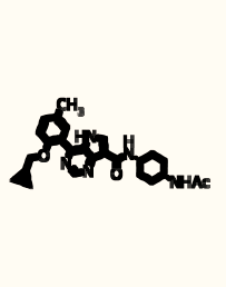 CC(=O)N[C@H]1CC[C@H](NC(=O)c2c[nH]c3c(-c4cc(C)ccc4OCC4CC4)ncnc23)CC1